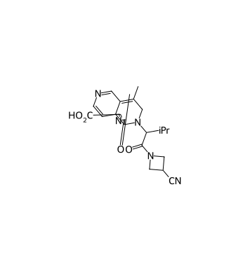 CC1=C2C=NC=CC23C(C(=O)O)=NC(=O)C3N(C(C(=O)N2CC(C#N)C2)C(C)C)C1